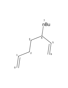 C=CC[CH]C(C=C)CCCC